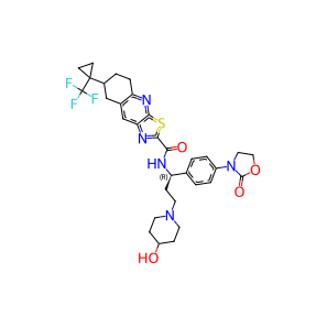 O=C(N[C@H](CCN1CCC(O)CC1)c1ccc(N2CCOC2=O)cc1)c1nc2cc3c(nc2s1)CCC(C1(C(F)(F)F)CC1)C3